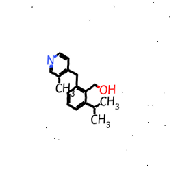 Cc1cnccc1Cc1cccc(C(C)C)c1CO